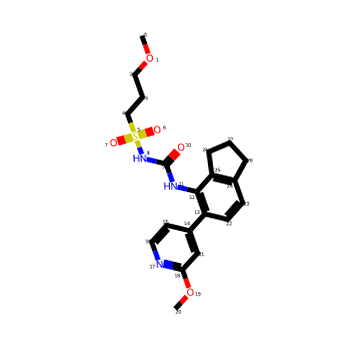 COCCCS(=O)(=O)NC(=O)Nc1c(-c2ccnc(OC)c2)ccc2c1CCC2